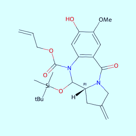 C=CCOC(=O)N1c2cc(O)c(OC)cc2C(=O)N2CC(=C)C[C@@H]2C1O[Si](C)(C)C(C)(C)C